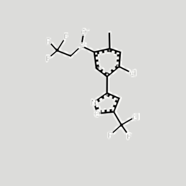 Cc1cc(Cl)c(-c2cc(C(F)(F)Cl)on2)cc1[S+]([O-])CC(F)(F)F